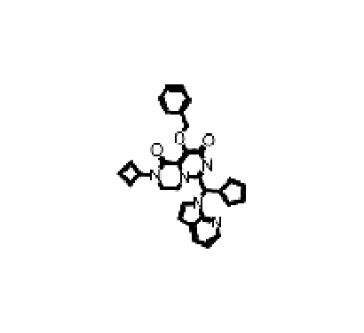 O=C1c2c(OCc3ccccc3)c(=O)nc(C(C3CCCC3)n3ccc4cccnc43)n2CCN1C1CCC1